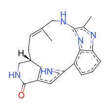 C/C1=C\C[C@H]2CNC(=O)c3cc([nH]c32)-c2cccc3nc(C)c(nc23)NC1